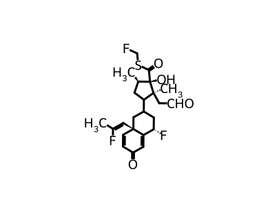 C/C(F)=C/[C@]12C=CC(=O)C=C1[C@@H](F)CC(C1C[C@@H](C)[C@](O)(C(=O)SCF)[C@@]1(C)CC=O)C2